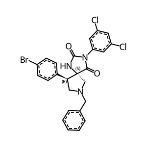 O=C1N[C@@]2(CN(Cc3ccccc3)C[C@H]2c2ccc(Br)cc2)C(=O)N1c1cc(Cl)cc(Cl)c1